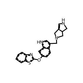 C1=C2CN(Cc3c[nH]c4cc(Oc5nc6ccccc6s5)ccc34)CC2CN1